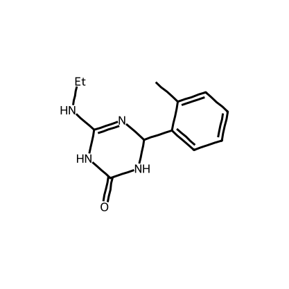 CCNC1=NC(c2ccccc2C)NC(=O)N1